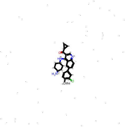 COc1ccc(-c2ccc3ncc(C(=O)C4CC4)c(NC4CCC(N)CC4)c3c2)cc1Cl